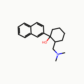 CN(C)CC1C[CH]CCC1(O)c1ccc2ccccc2c1